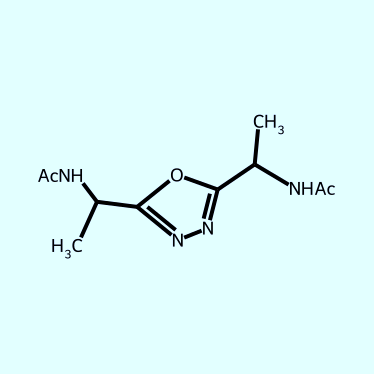 CC(=O)NC(C)c1nnc(C(C)NC(C)=O)o1